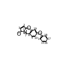 O=C1C=CC(=O)N1Cc1ccc(Oc2ccccc2)cc1